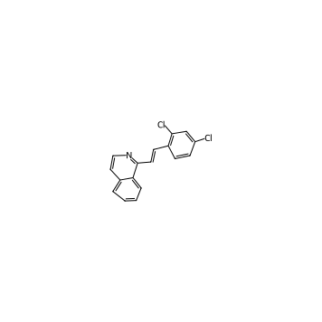 Clc1ccc(C=Cc2nccc3ccccc23)c(Cl)c1